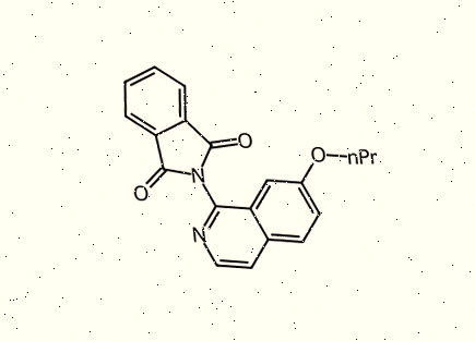 CCCOc1ccc2ccnc(N3C(=O)c4ccccc4C3=O)c2c1